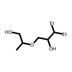 CCC(CC)C(O)COC(C)CO